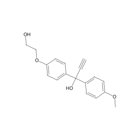 C#CC(O)(c1ccc(OC)cc1)c1ccc(OCCO)cc1